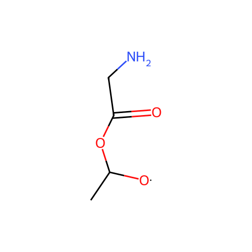 CC([O])OC(=O)CN